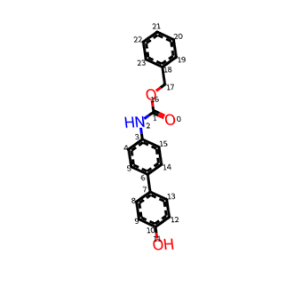 O=C(Nc1ccc(-c2ccc(O)cc2)cc1)OCc1ccccc1